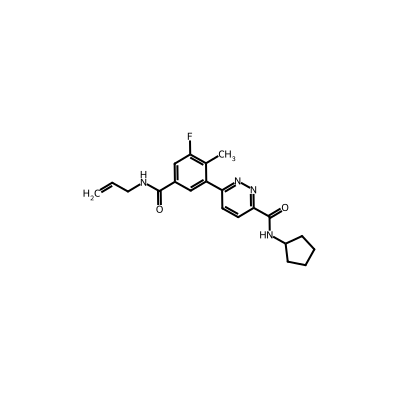 C=CCNC(=O)c1cc(F)c(C)c(-c2ccc(C(=O)NC3CCCC3)nn2)c1